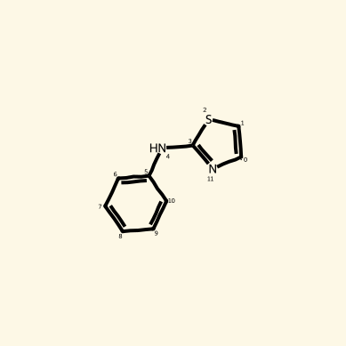 [c]1csc(Nc2ccccc2)n1